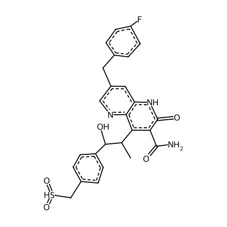 CC(c1c(C(N)=O)c(=O)[nH]c2cc(Cc3ccc(F)cc3)cnc12)C(O)c1ccc(C[SH](=O)=O)cc1